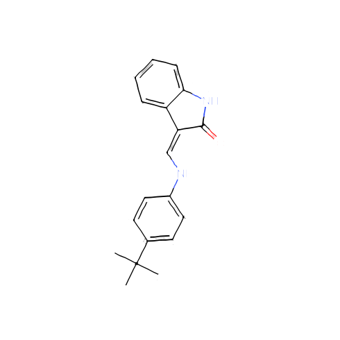 CC(C)(C)c1ccc(NC=C2C(=O)Nc3ccccc32)cc1